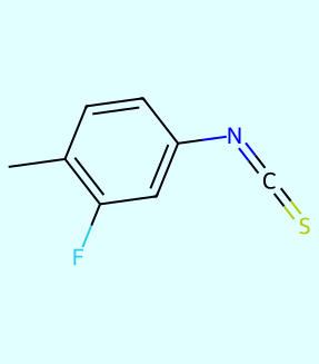 Cc1ccc(N=C=S)cc1F